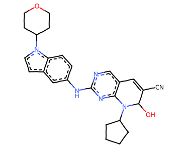 N#CC1=Cc2cnc(Nc3ccc4c(ccn4C4CCOCC4)c3)nc2N(C2CCCC2)C1O